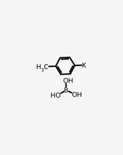 Cc1cc[c]([K])cc1.OB(O)O